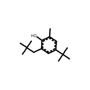 Cc1cc(C(C)(C)C)cc(CC(C)(C)C)c1O